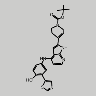 CC(C)(C)OC(=O)N1CC=C(c2cc3c(Nc4ccc(O)c(-c5cncs5)c4)ccnc3[nH]2)CC1